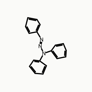 c1ccc(N=NN(c2ccccc2)c2ccccc2)cc1